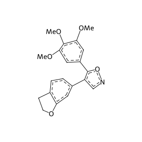 COc1cc(-c2oncc2-c2ccc3c(c2)OCC3)cc(OC)c1OC